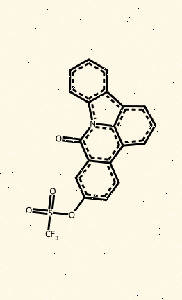 O=c1c2cc(OS(=O)(=O)C(F)(F)F)ccc2c2cccc3c4ccccc4n1c23